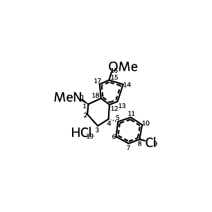 CN[C@@H]1CC[C@@H](c2ccc(Cl)cc2)c2ccc(OC)cc21.Cl